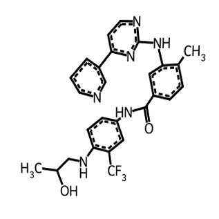 Cc1ccc(C(=O)Nc2ccc(NCC(C)O)c(C(F)(F)F)c2)cc1Nc1nccc(-c2cccnc2)n1